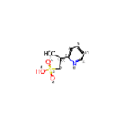 C[C@H](CS(=O)(=O)O)c1ccccn1